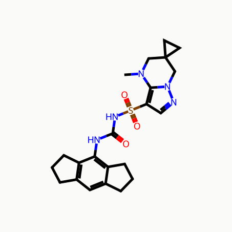 CN1CC2(CC2)Cn2ncc(S(=O)(=O)NC(=O)Nc3c4c(cc5c3CCC5)CCC4)c21